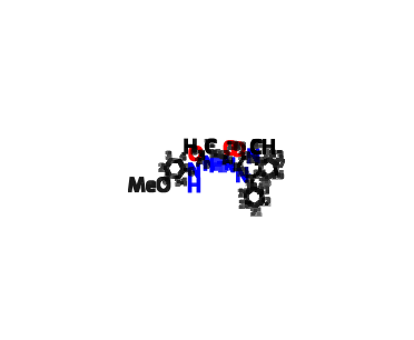 COc1cccc(NC(=O)N[C@@H](C)C(=O)N[C@H]2N=C(c3ccccc3)c3ccccc3N(C)C2=O)c1